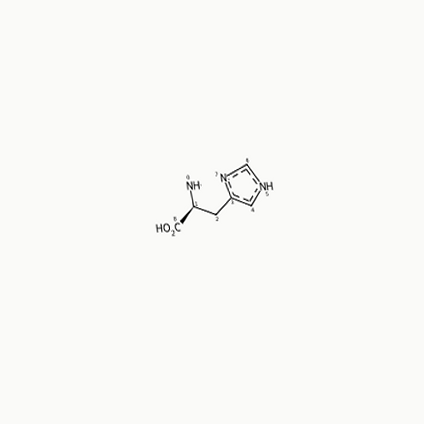 [NH][C@@H](Cc1c[nH]cn1)C(=O)O